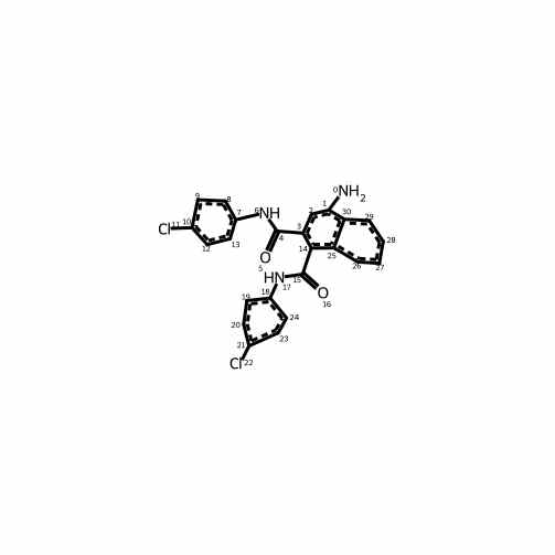 Nc1cc(C(=O)Nc2ccc(Cl)cc2)c(C(=O)Nc2ccc(Cl)cc2)c2ccccc12